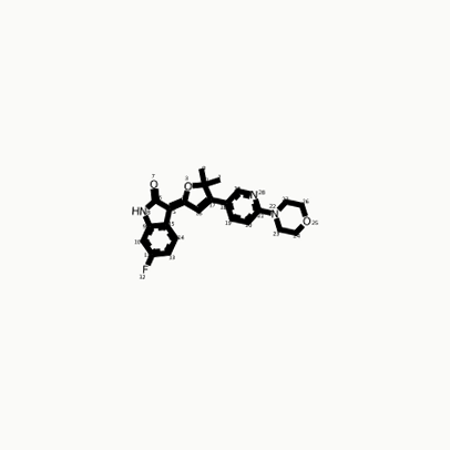 CC1(C)OC(=C2C(=O)Nc3cc(F)ccc32)C=C1c1ccc(N2CCOCC2)nc1